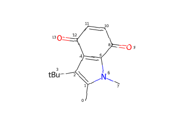 Cc1c(C(C)(C)C)c2c(n1C)C(=O)C=CC2=O